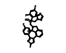 Cn1cc(-c2ccnc3c2C(=O)N(C[C@@](O)(Cn2cncn2)c2ccc(F)cc2F)C3)c(-c2ccc(F)cc2)n1